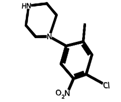 Cc1cc(Cl)c([N+](=O)[O-])cc1N1CCNCC1